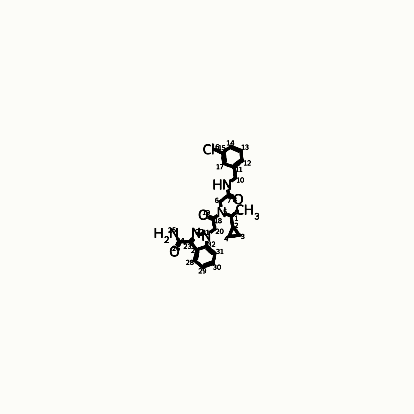 CC(C1CC1)N(CC(=O)NCc1cccc(Cl)c1)C(=O)Cn1nc(C(N)=O)c2ccccc21